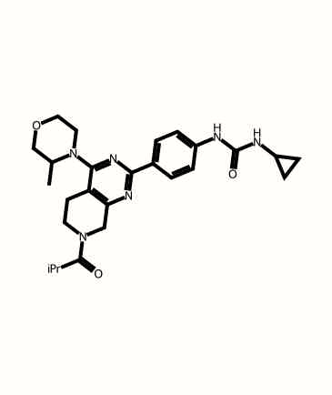 CC(C)C(=O)N1CCc2c(nc(-c3ccc(NC(=O)NC4CC4)cc3)nc2N2CCOCC2C)C1